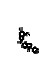 N#Cc1cc(Cl)cc2c1C[C@@H](Nc1ncc3c(n1)CCN(C1CCOCC1)C3=O)C2